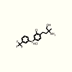 CC(N)(CO)CCc1ccc(Sc2cccc(C(F)(F)F)c2)cc1Cl.Cl